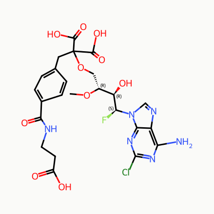 CO[C@H](COC(Cc1ccc(C(=O)NCCC(=O)O)cc1)(C(=O)O)C(=O)O)[C@@H](O)[C@H](F)n1cnc2c(N)nc(Cl)nc21